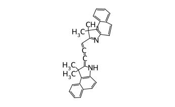 CC1(C)C(C=C=C=C2Nc3ccc4ccccc4c3C2(C)C)=Nc2ccc3ccccc3c21